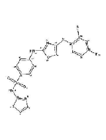 O=S(=O)(Nc1nccs1)c1ccc(Nc2nc(Cc3ccc(F)cc3F)cs2)cc1